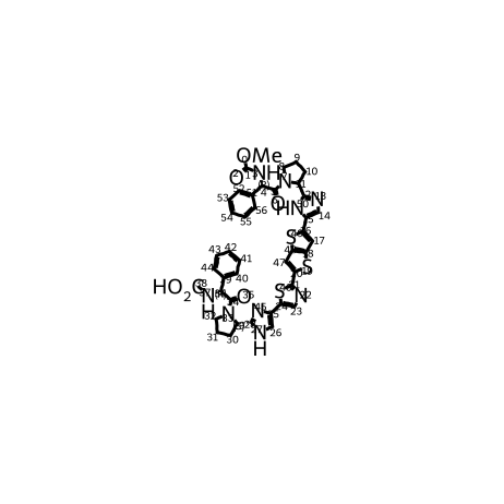 COC(=O)N[C@@H](C(=O)N1CCCC1c1ncc(-c2cc3sc(-c4ncc(-c5c[nH]c([C@@H]6CCCN6C(=O)[C@H](NC(=O)O)c6ccccc6)n5)s4)cc3s2)[nH]1)c1ccccc1